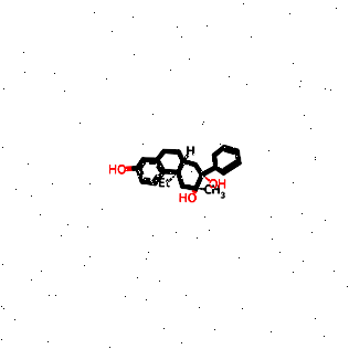 CC[C@@]12C[C@](C)(O)[C@](O)(C3C=CC=CC3)C[C@H]1CCc1cc(O)ccc12